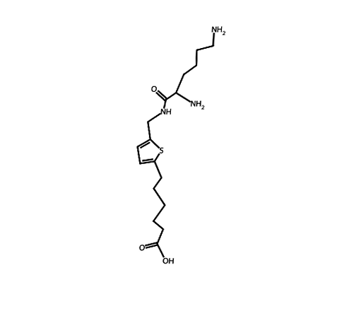 NCCCCC(N)C(=O)NCc1ccc(CCCCCC(=O)O)s1